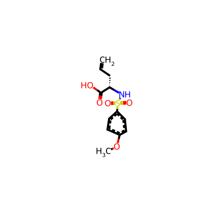 C=CC[C@H](NS(=O)(=O)c1ccc(OC)cc1)C(=O)O